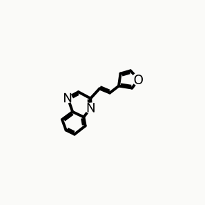 C(=Cc1cnc2ccccc2n1)c1ccoc1